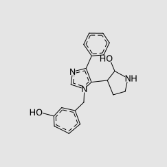 Oc1cccc(Cn2cnc(-c3ccccc3)c2C2CCNC2O)c1